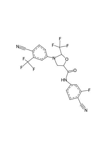 N#Cc1ccc(NC(=O)C2CN(c3ccc(C#N)c(C(F)(F)F)c3)C(C(F)(F)F)O2)cc1F